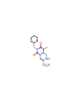 Cc1c2n(c(=O)n(Cc3ccccc3)c1=O)C=C(C(=O)O)NC2